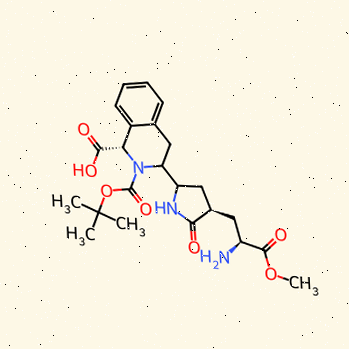 COC(=O)[C@@H](N)C[C@@H]1CC(C2Cc3ccccc3[C@@H](C(=O)O)N2C(=O)OC(C)(C)C)NC1=O